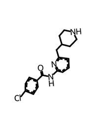 O=C(Nc1cccc(CC2CCNCC2)n1)c1ccc(Cl)cc1